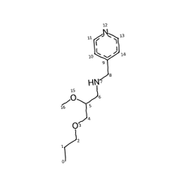 CCCOCC(CNCc1ccncc1)OC